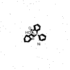 O=S(=O)(O)c1ccccc1P(c1ccccc1)c1cc2ccccc2s1.[Ni]